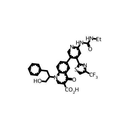 CCNC(=O)Nc1cc(-c2nc(C(F)(F)F)cs2)c(-c2ccc3c(c2)c(=O)c(C(=O)O)cn3C(CO)Cc2ccccc2)cn1